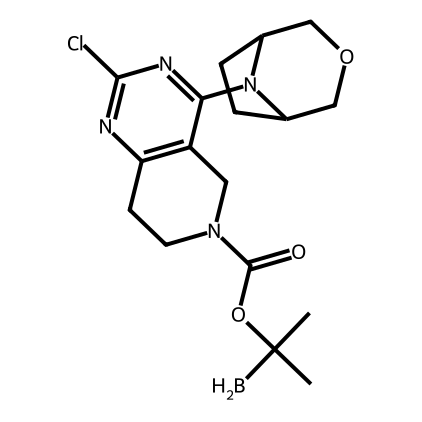 BC(C)(C)OC(=O)N1CCc2nc(Cl)nc(N3C4CCC3COC4)c2C1